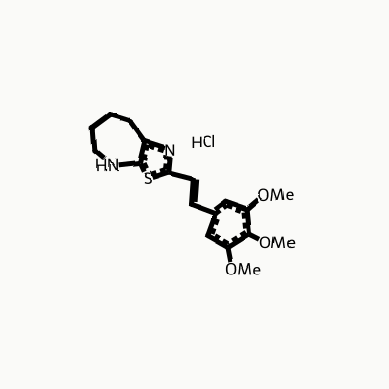 COc1cc(C=Cc2nc3c(s2)NCCCC3)cc(OC)c1OC.Cl